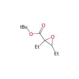 CCC1OC1(CC)C(=O)OC(C)(C)C